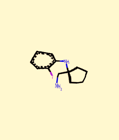 NCC1(Nc2ccccc2I)CCCC1